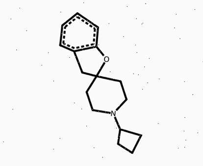 c1ccc2c(c1)CC1(CCN(C3CCC3)CC1)O2